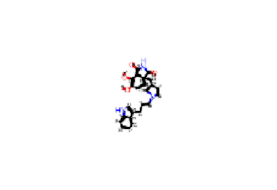 COC1=C(OC)C2C(=O)NC(=O)C2(CC2CCN(CCCc3c[nH]c4ccccc34)C2)C=C1